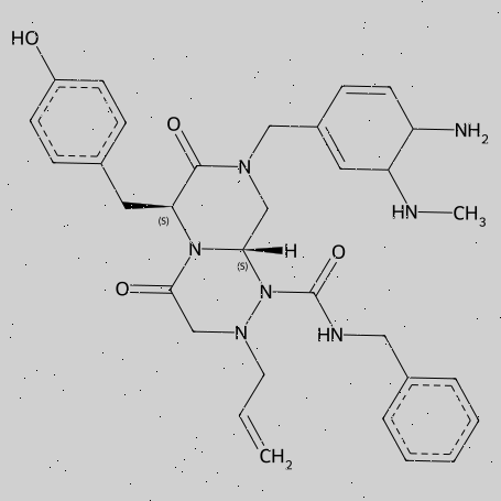 C=CCN1CC(=O)N2[C@@H](Cc3ccc(O)cc3)C(=O)N(CC3=CC(NC)C(N)C=C3)C[C@@H]2N1C(=O)NCc1ccccc1